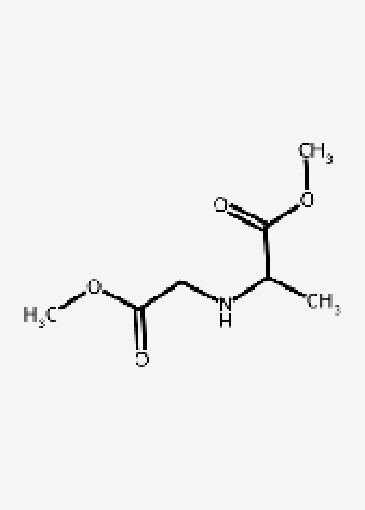 COC(=O)CNC(C)C(=O)OC